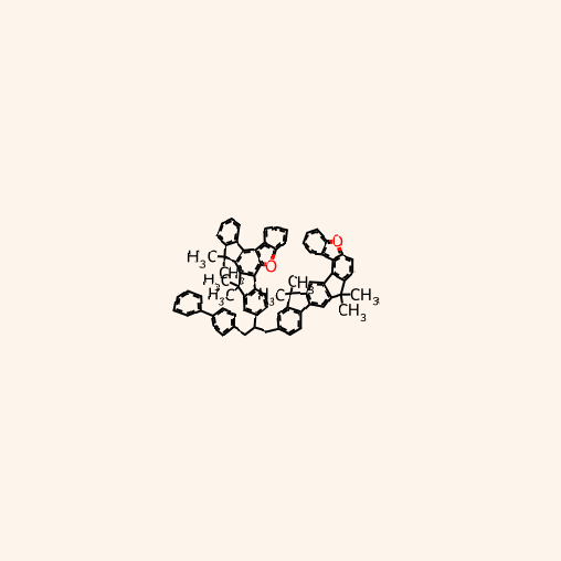 CC1(C)c2cc(CC(Cc3ccc(-c4ccccc4)cc3)c3ccc4c(c3)C(C)(C)c3c5c(c6c(oc7ccccc76)c3-4)-c3ccccc3C5(C)C)ccc2-c2cc3c(cc21)-c1c(ccc2oc4ccccc4c12)C3(C)C